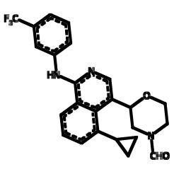 O=CN1CCOC(c2cnc(Nc3cccc(C(F)(F)F)c3)c3cccc(C4CC4)c23)C1